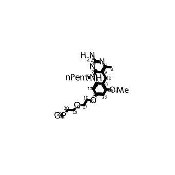 CCCCCNc1nc(N)nc(C)c1Cc1ccc(OCCOCCP=O)cc1OC